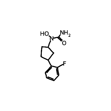 NC(=O)N(O)C1CCC(c2ccccc2F)C1